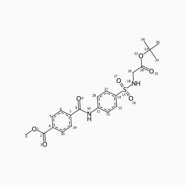 COC(=O)c1ccc(C(=O)Nc2ccc(S(=O)(=O)NCC(=O)OC(C)(C)C)cc2)cc1